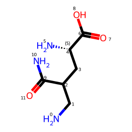 NCC(C[C@H](N)C(=O)O)C(N)=O